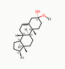 CCO[C@@]1(O)CC[C@@]2(C)C(=CC[C@H]3[C@@H]4CC[C@H](C(C)=O)[C@@]4(C)CC[C@@H]32)C1